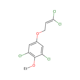 CCOc1c(Cl)cc(OCC=C(Cl)Cl)cc1Cl